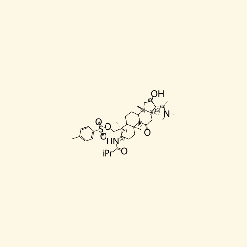 Cc1ccc(S(=O)(=O)OC[C@@]2(C)C3CCC4[C@]5(C)C[C@@H](O)[C@H]([C@H](C)N(C)C)[C@@]5(C)CC(=O)[C@]45CC35CC[C@@H]2NC(=O)C(C)C)cc1